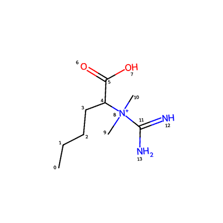 CCCCC(C(=O)O)[N+](C)(C)C(=N)N